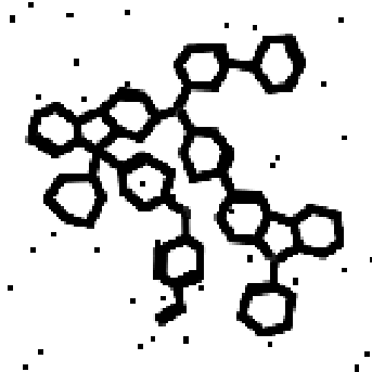 C=CC1=CCC(OC2CC=C(C3(C4CCCCC4)C4C=CCCC4C4C=CC(N(C5CC=C(C6=CC7C8CCCCC8N(C8=CCCCC8)C7CC6)CC5)C5CCC=C(C6CC=CCC6)C5)CC43)CC2)C=C1